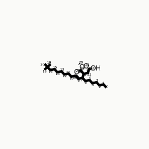 CCCCCCCC(/C=C/CCCCCCCC(C)(C)C)C(CC(=O)O)C(=O)OC